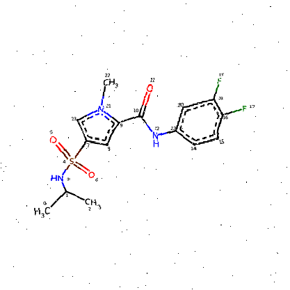 CC(C)NS(=O)(=O)c1cc(C(=O)Nc2ccc(F)c(F)c2)n(C)c1